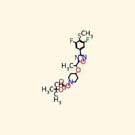 CSc1c(F)cc(-c2noc(C(C)OC3CCN(OC(=O)OC(C)(C)C)CC3)n2)cc1F